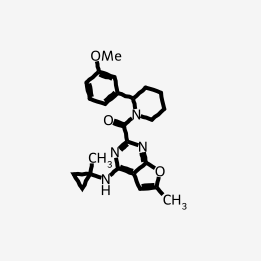 COc1cccc(C2CCCCN2C(=O)c2nc(NC3(C)CC3)c3cc(C)oc3n2)c1